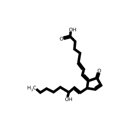 CCCCCC(O)C=CC1C=CC(=O)C1=CC=CCCCC(=O)O